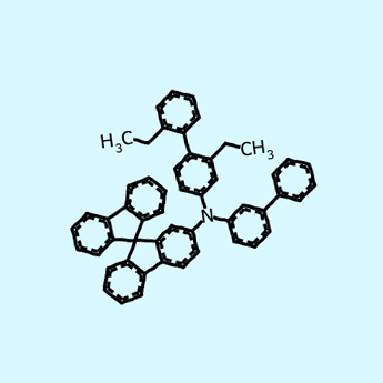 CCc1ccccc1-c1ccc(N(c2cccc(-c3ccccc3)c2)c2ccc3c(c2)C2(c4ccccc4-c4ccccc42)c2ccccc2-3)cc1CC